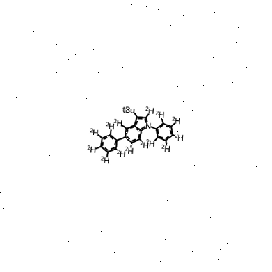 [2H]c1c([2H])c([2H])c(-c2c([2H])c([2H])c3c(c2[2H])c(C(C)(C)C)c([2H])n3-c2c([2H])c([2H])c([2H])c([2H])c2[2H])c([2H])c1[2H]